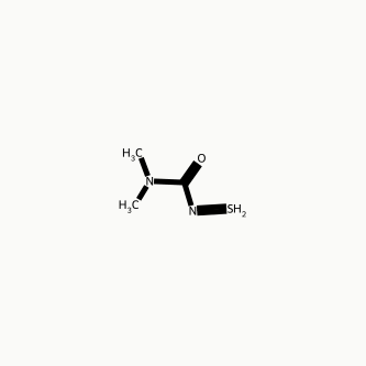 CN(C)C(=O)N=[SH2]